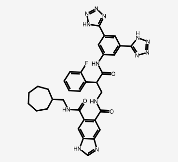 O=C(NCC1CCCCCC1)c1cc2[nH]cnc2cc1C(=O)NCC(C(=O)Nc1cc(-c2nnn[nH]2)cc(-c2nnn[nH]2)c1)c1ccccc1F